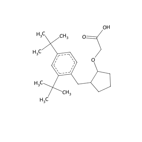 CC(C)(C)c1ccc(CC2CCCC2OCC(=O)O)c(C(C)(C)C)c1